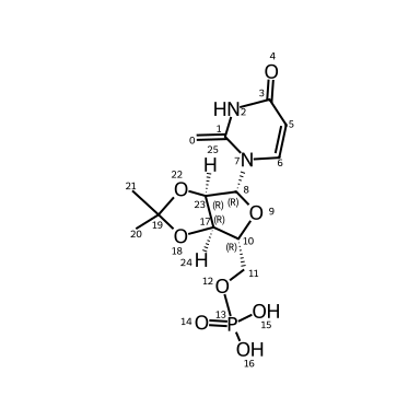 C=C1NC(=O)C=CN1[C@@H]1O[C@H](COP(=O)(O)O)[C@H]2OC(C)(C)O[C@H]21